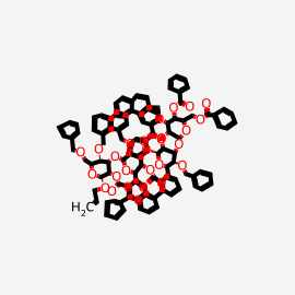 C=CCO[C@@H]1OC(COCc2ccccc2)[C@H](OCc2ccccc2)C(OC2OC(COC(=O)c3ccccc3)C(OC(=O)c3ccccc3)C(O[C@@H]3OC(COCc4ccccc4)[C@H](OCc4ccccc4)C(OC4OC(COC(=O)c5ccccc5)C(OC(=O)c5ccccc5)C(OCc5ccc6ccccc6c5)C4OCc4ccccc4)C3OC(=O)c3ccccc3)C2OCc2ccccc2)C1OC(=O)c1ccccc1